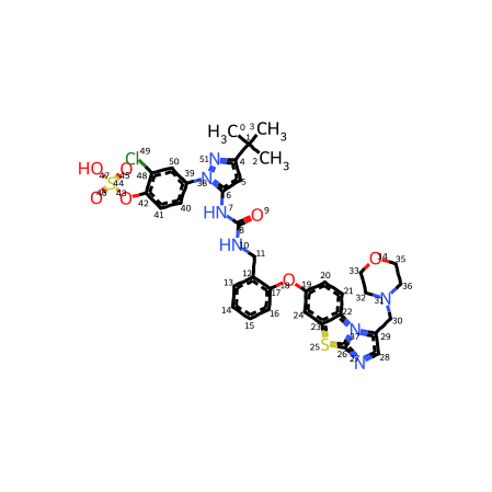 CC(C)(C)c1cc(NC(=O)NCc2ccccc2Oc2ccc3c(c2)sc2ncc(CN4CCOCC4)n23)n(-c2ccc(OS(=O)(=O)O)c(Cl)c2)n1